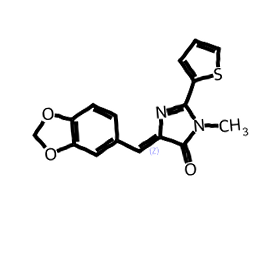 CN1C(=O)/C(=C/c2ccc3c(c2)OCO3)N=C1c1cccs1